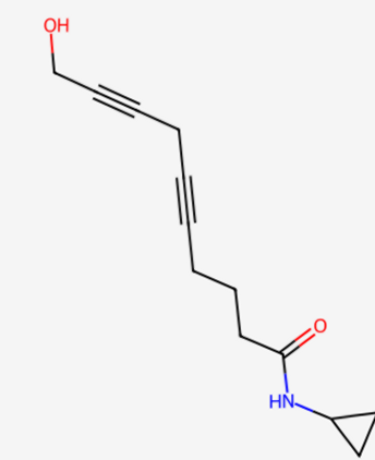 O=C(CCCC#CCC#CCO)NC1CC1